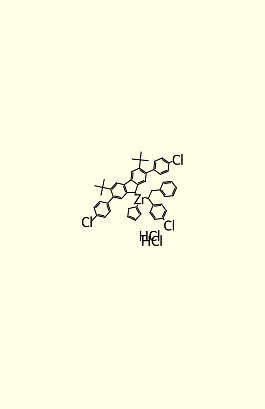 CC(C)(C)c1cc2c(cc1-c1ccc(Cl)cc1)[CH](/[Zr]([C]1=CC=CC1)=[C](\Cc1ccccc1)c1ccc(Cl)cc1)c1cc(-c3ccc(Cl)cc3)c(C(C)(C)C)cc1-2.Cl.Cl